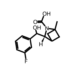 CC12CC(C1)[C@H](C(O)c1cccc(F)c1)N2C(=O)O